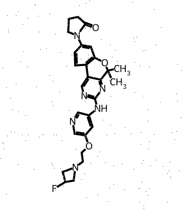 CC1(C)Oc2cc(N3CCCC3=O)ccc2-c2cnc(Nc3cncc(OCCN4CC(F)C4)c3)nc21